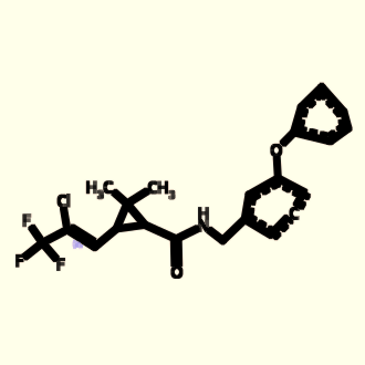 CC1(C)C(/C=C(\Cl)C(F)(F)F)C1C(=O)NCc1cccc(Oc2ccccc2)c1